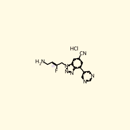 Cl.N#Cc1cc(-c2cncnc2)c2nnn(C/C(F)=C/CN)c2c1